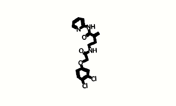 C=C(CCNC(=O)COc1ccc(Cl)c(Cl)c1)C(=O)Nc1ccccn1